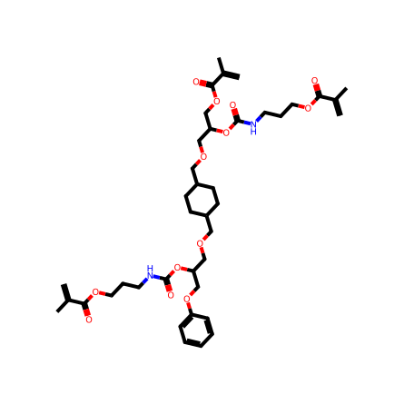 C=C(C)C(=O)OCCCNC(=O)OC(COCC1CCC(COCC(COc2ccccc2)OC(=O)NCCCOC(=O)C(=C)C)CC1)COC(=O)C(=C)C